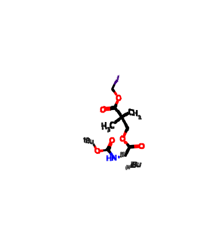 CC[C@H](C)[C@H](NC(=O)OC(C)(C)C)C(=O)OCC(C)(C)C(=O)OCI